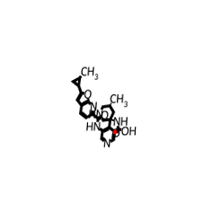 CC1CC1c1cc2ccc(C(=O)Nc3cnccc3[C@]3(NC(=O)O)CNC[C@H](C)C3)nc2o1